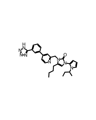 CCCCc1cn(-c2cccn2C(C)CC)c(=O)n1Cc1cc(-c2cccc(-c3nnn[nH]3)c2)ccn1